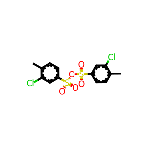 Cc1ccc(S(=O)(=O)OS(=O)(=O)c2ccc(C)c(Cl)c2)cc1Cl